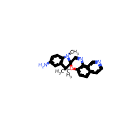 CN1c2ccc(N)cc2C(C)(C)C12C=Nc1c(ccc3ccncc13)O2